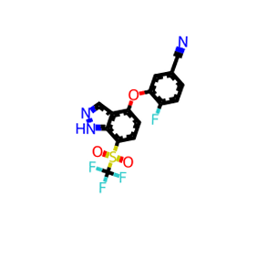 N#Cc1ccc(F)c(Oc2ccc(S(=O)(=O)C(F)(F)F)c3[nH]ncc23)c1